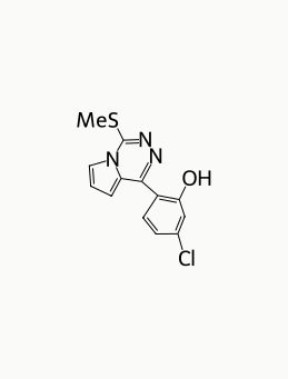 CSc1nnc(-c2ccc(Cl)cc2O)c2cccn12